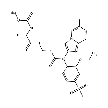 CC(C)C(NC(=O)OC(C)(C)C)C(=O)OCOC(=O)N(c1nc2ccc(Cl)cn2n1)c1ccc(S(C)(=O)=O)cc1OCC(F)(F)F